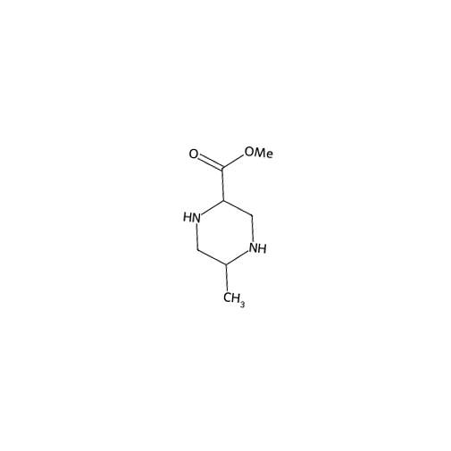 COC(=O)C1CNC(C)CN1